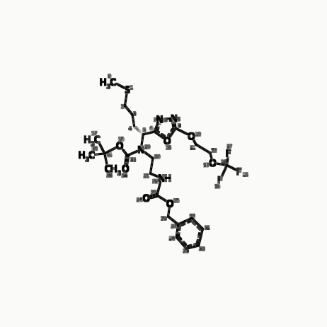 CSCCC[C@H](c1nnc(OCCOC(F)(F)F)o1)N(CCNC(=O)OCc1ccccc1)C(=O)OC(C)(C)C